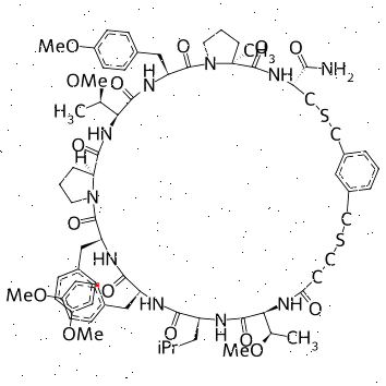 COc1ccc(C[C@@H]2NC(=O)[C@H](CC(C)C)NC(=O)[C@H]([C@@H](C)OC)NC(=O)CCSCc3cccc(c3)CSC[C@@H](C(N)=O)NC(=O)[C@]3(C)CCCN3C(=O)[C@H](Cc3ccc(OC)cc3)NC(=O)[C@H]([C@@H](C)OC)NC(=O)[C@@H]3CCCN3C(=O)[C@H](Cc3ccc(OC)cc3)NC2=O)cc1